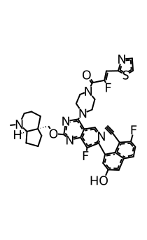 C#Cc1c(F)ccc2cc(O)cc(-c3ncc4c(N5CCN(C(=O)C(F)=Cc6nccs6)CC5)nc(OC[C@]56CCC[C@H]5N(C)CCC6)nc4c3F)c12